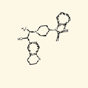 CC(C(O)c1ccc2c(c1)CCCS2)N1CCC(n2c(=O)[nH]c3ccccc32)CC1